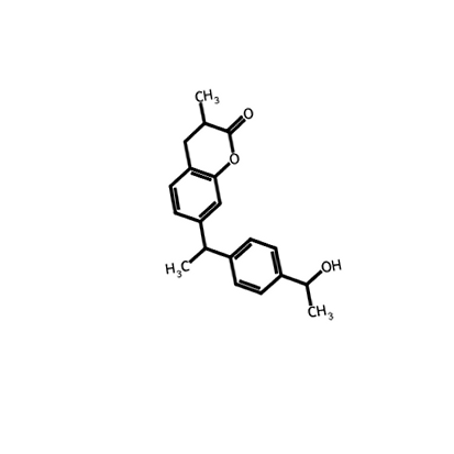 CC1Cc2ccc(C(C)c3ccc(C(C)O)cc3)cc2OC1=O